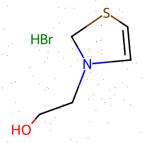 Br.OCCN1C=CSC1